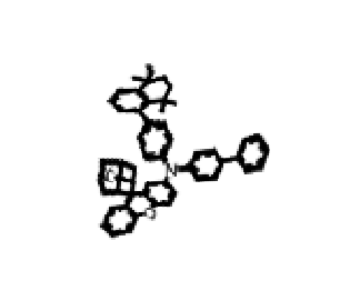 CC1(C)CCC(C)(C)c2c(-c3ccc(N(c4ccc(-c5ccccc5)cc4)c4ccc5c(c4)C4(c6ccccc6O5)C5CC6CC7CC4C75C6)cc3)cccc21